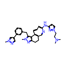 CN(C)CCn1ccc(NC2=C/C=C/C3=C(/C=N\2)CCc2nn(C)c(Cc4cccc(-c5cnn(C)c5)c4)c23)n1